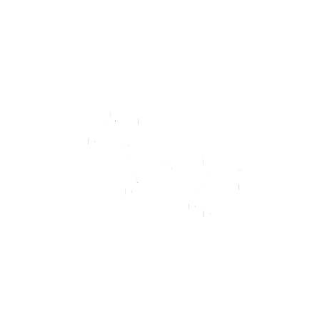 CC(=O)CCSP(=S)(OCC(C)SP(=S)(OC(C)CC(C)C)OC(C)CC(C)C)OCC(C)SP(=S)(OC(C)CC(C)C)OC(C)CC(C)C